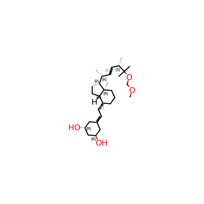 COCOC(C)(C)[C@@H](C)/C=C/[C@@H](C)[C@H]1CC[C@H]2/C(=C/C=C3C[C@@H](O)C[C@H](O)C3)CCC[C@]12C